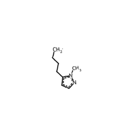 [CH2]CCCc1ccnn1C